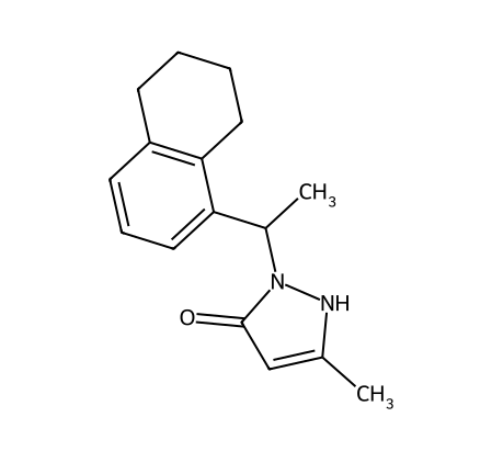 Cc1cc(=O)n(C(C)c2cccc3c2CCCC3)[nH]1